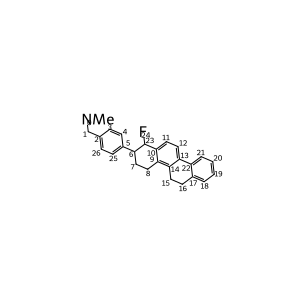 CNCc1ccc(C2CCc3c(ccc4c3CCc3ccccc3-4)C2F)cc1